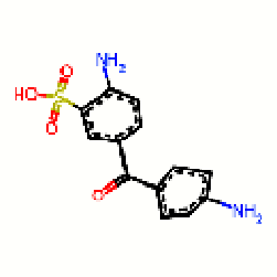 Nc1ccc(C(=O)c2ccc(N)c(S(=O)(=O)O)c2)cc1